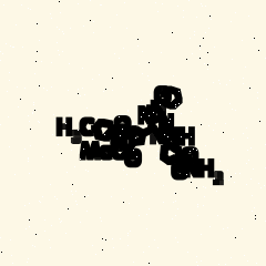 COC(=O)c1cc(-c2nc(Nc3cccc(S(N)(=O)=O)c3)nc3c2ncn3C2CCCCO2)cn1S(=O)(=O)c1ccc(C)cc1